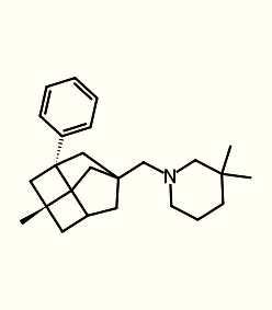 CC1(C)CCCN(CC23CC4C[C@]5(C)C[C@@](c6ccccc6)(C2)C45C3)C1